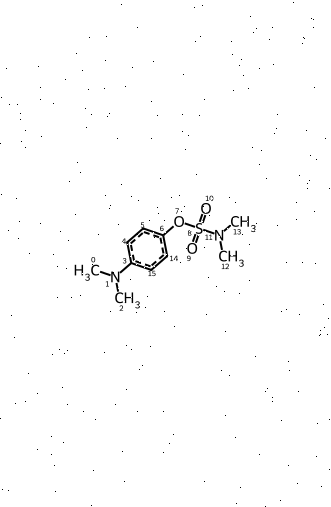 CN(C)c1ccc(OS(=O)(=O)N(C)C)cc1